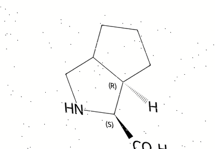 O=C(O)[C@H]1NCC2CCC[C@H]21